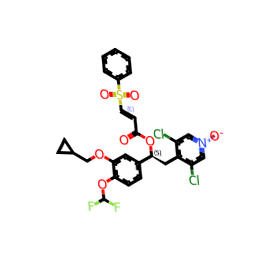 O=C(/C=C/S(=O)(=O)c1ccccc1)O[C@@H](Cc1c(Cl)c[n+]([O-])cc1Cl)c1ccc(OC(F)F)c(OCC2CC2)c1